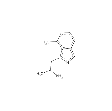 Cc1cccc2cnc(CC(C)N)n12